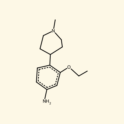 CCOc1cc(N)ccc1C1CCN(C)CC1